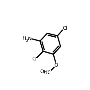 Nc1cc(Cl)cc(OC=O)c1Cl